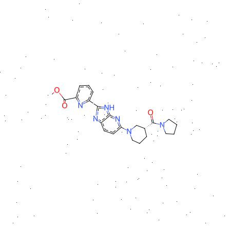 COC(=O)c1cccc(-c2nc3ccc(N4CCC[C@@H](C(=O)N5CCCC5)C4)nc3[nH]2)n1